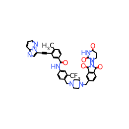 Cc1ccc(C(=O)Nc2ccc(CN3CCN(Cc4ccc5c(c4)C(=O)N(N4CCC(=O)NC4=O)C5=O)CC3)c(C(F)(F)F)c2)cc1C#Cc1cnc2cccnn12